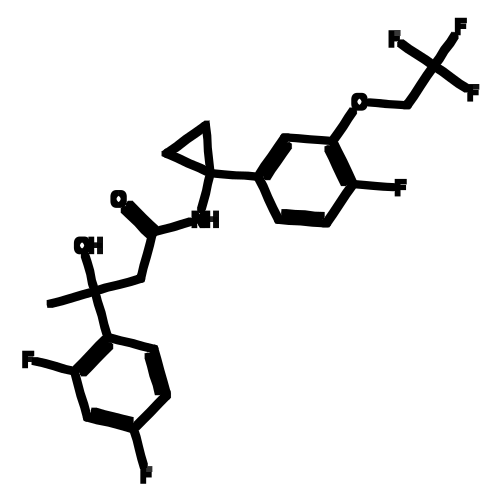 CC(O)(CC(=O)NC1(c2ccc(F)c(OCC(F)(F)F)c2)CC1)c1ccc(F)cc1F